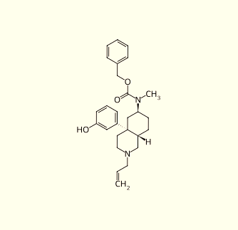 C=CCN1CC[C@@]2(c3cccc(O)c3)C[C@@H](N(C)C(=O)OCc3ccccc3)CC[C@@H]2C1